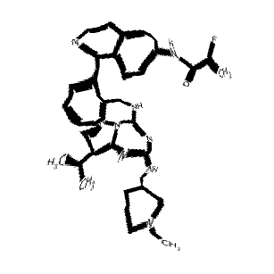 C=C(F)C(=O)Nc1ccc2c(-c3ccccc3CNc3nc(N[C@@H]4CCCN(C)C4)nc4c(C(C)C)cnn34)nccc2c1